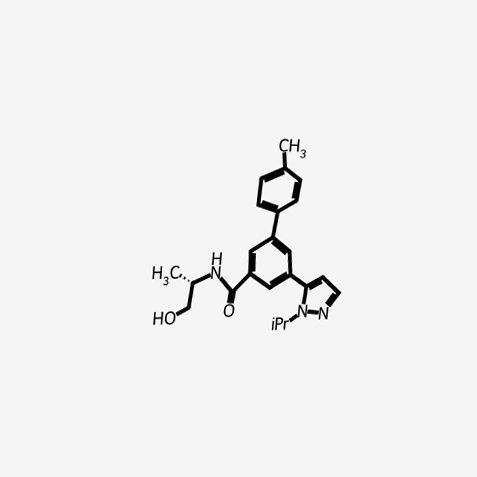 Cc1ccc(-c2cc(C(=O)N[C@@H](C)CO)cc(-c3ccnn3C(C)C)c2)cc1